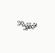 Cl.N=C(NCc1ccc(Cl)c(Cl)c1)NC(=N)Nc1cccc(C(F)(F)F)c1